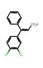 O=C(O)/C=C(\c1ccccc1)c1ccc(Cl)c(Cl)c1